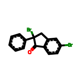 O=C1c2ccc(Br)cc2CC1(Br)c1ccccc1